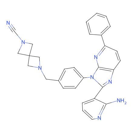 N#CN1CC2(C1)CN(Cc1ccc(-n3c(-c4cccnc4N)nc4ccc(-c5ccccc5)nc43)cc1)C2